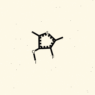 Cc1sc(C)c(OI)c1F